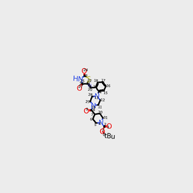 CC(C)(C)OC(=O)N1CCC(C(=O)N2CCN(c3ccccc3/C=C3\SC(=O)NC3=O)CC2)CC1